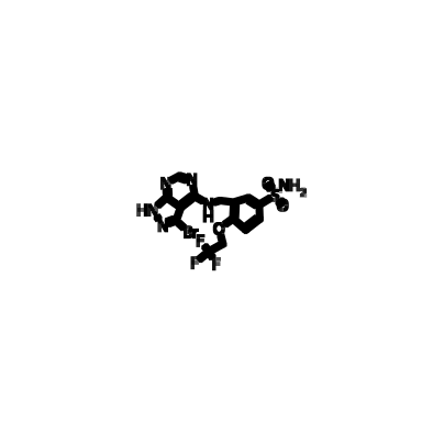 NS(=O)(=O)c1ccc(OCC(F)(F)F)c(CNc2ncnc3[nH]nc(Br)c23)c1